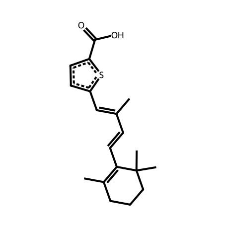 CC(C=CC1=C(C)CCCC1(C)C)=Cc1ccc(C(=O)O)s1